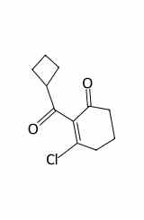 O=C1CCCC(Cl)=C1C(=O)C1CCC1